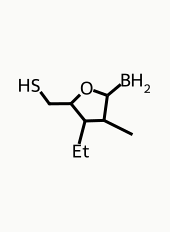 BC1OC(CS)C(CC)C1C